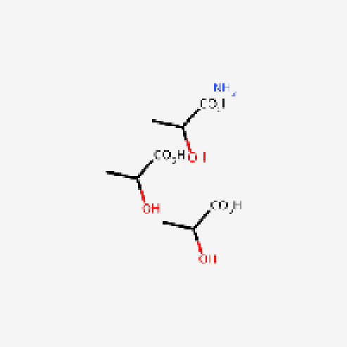 CC(O)C(=O)O.CC(O)C(=O)O.CC(O)C(=O)O.N